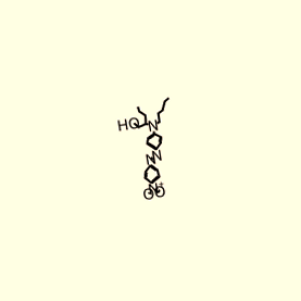 CCCCCN(c1ccc(N=Nc2ccc([N+](=O)[O-])cc2)cc1)C(CO)CCC